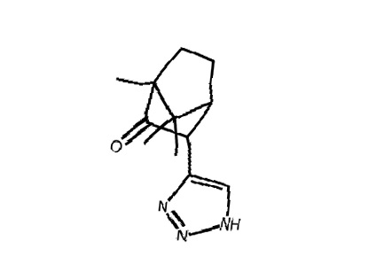 CC12CCC(C(c3c[nH]nn3)C1=O)C2(C)C